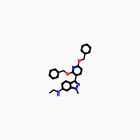 CCNc1ccc2c(-c3ccc(OCc4ccccc4)nc3OCc3ccccc3)nn(C)c2c1